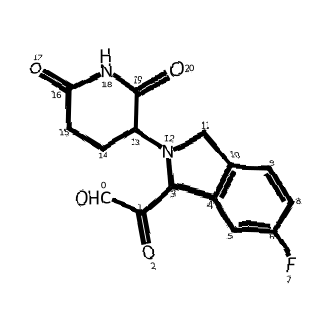 O=CC(=O)C1c2cc(F)ccc2CN1C1CCC(=O)NC1=O